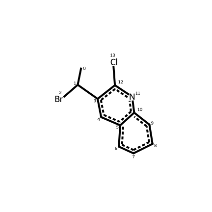 CC(Br)c1cc2ccccc2nc1Cl